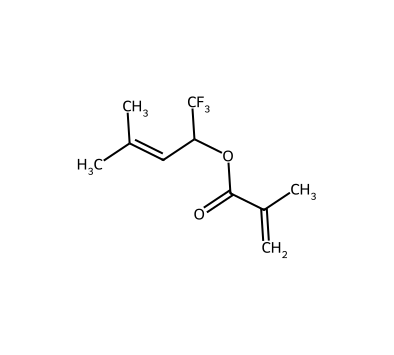 C=C(C)C(=O)OC(C=C(C)C)C(F)(F)F